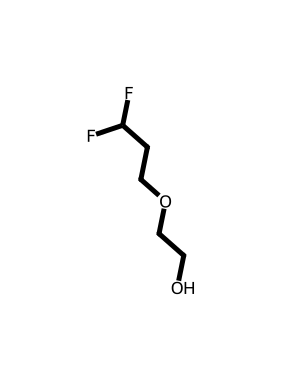 OCCOCCC(F)F